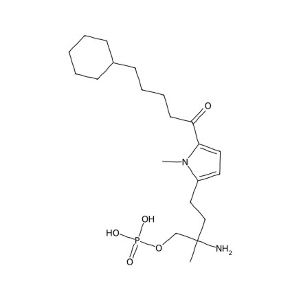 Cn1c(CCC(C)(N)COP(=O)(O)O)ccc1C(=O)CCCCC1CCCCC1